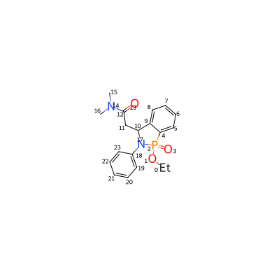 CCOP1(=O)c2ccccc2C(CC(=O)N(C)C)N1c1ccccc1